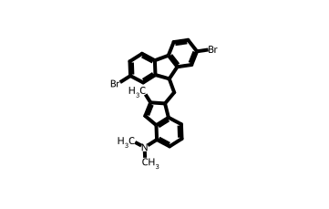 CC1=Cc2c(cccc2N(C)C)C1CC1c2cc(Br)ccc2-c2ccc(Br)cc21